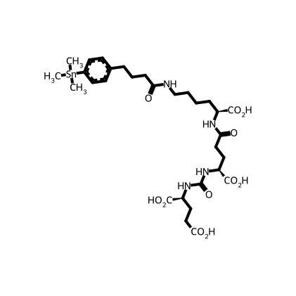 [CH3][Sn]([CH3])([CH3])[c]1ccc(CCCC(=O)NCCCC[C@H](NC(=O)CC[C@H](NC(=O)N[C@@H](CCC(=O)O)C(=O)O)C(=O)O)C(=O)O)cc1